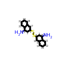 Nc1cc(SSc2cc(N)c3ccccc3c2)cc2ccccc12